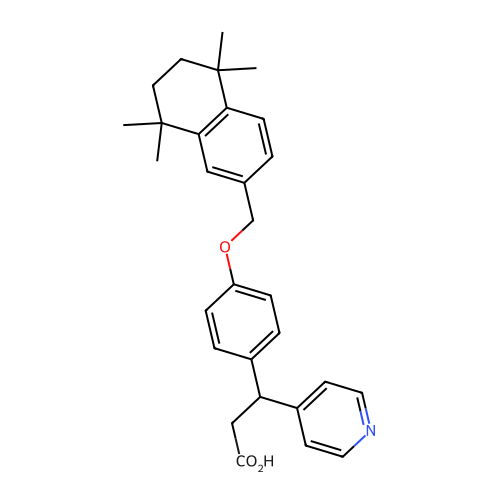 CC1(C)CCC(C)(C)c2cc(COc3ccc(C(CC(=O)O)c4ccncc4)cc3)ccc21